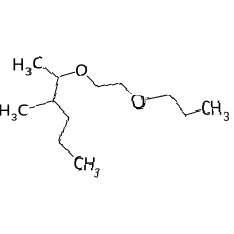 CCCOCCOC(C)C(C)CCC